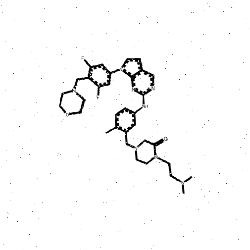 Cc1ccc(Nc2ncc3ccn(-c4cc(F)c(CN5CCOCC5)c(F)c4)c3n2)cc1CN1CCN(CCN(C)C)C(=O)C1